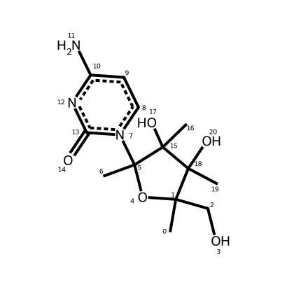 CC1(CO)OC(C)(n2ccc(N)nc2=O)C(C)(O)C1(C)O